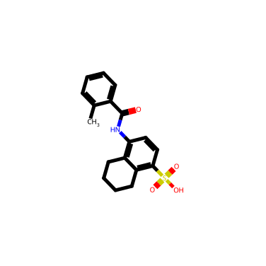 Cc1ccccc1C(=O)Nc1ccc(S(=O)(=O)O)c2c1CCCC2